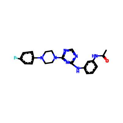 CC(=O)Nc1cccc(Nc2ncnc(N3CCN(c4ccc(F)cc4)CC3)n2)c1